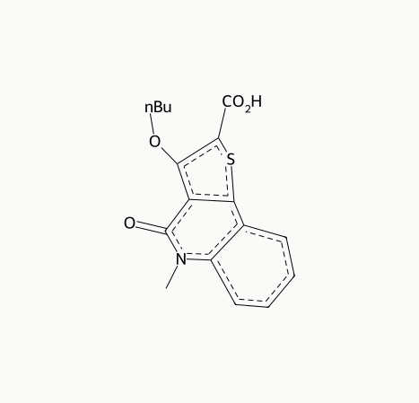 CCCCOc1c(C(=O)O)sc2c1c(=O)n(C)c1ccccc21